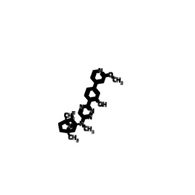 COc1cc(-c2ccc(-c3ncc(N(C)[C@@H]4C[C@@]5(C)CC[C@](C)(N5)[C@@H]4F)nn3)c(O)c2)ccn1